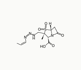 C/C=C\N=N/NC[C@@]1(C)[C@H](C(=O)O)N2C(=O)C[C@H]2S1(=O)=O